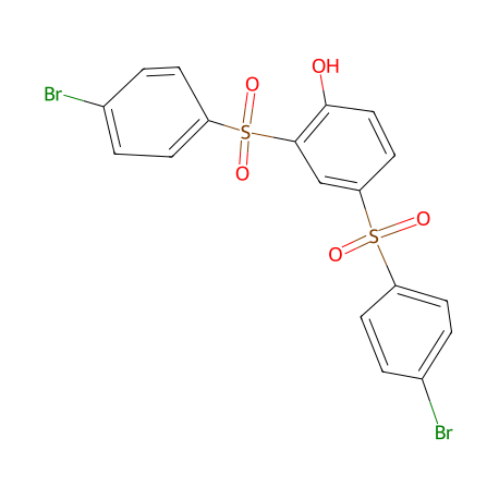 O=S(=O)(c1ccc(Br)cc1)c1ccc(O)c(S(=O)(=O)c2ccc(Br)cc2)c1